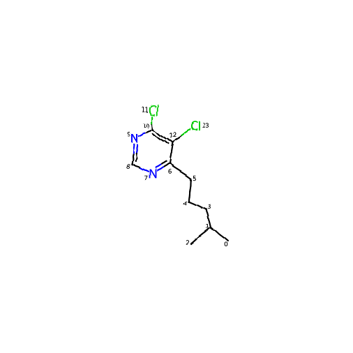 CC(C)CCCc1ncnc(Cl)c1Cl